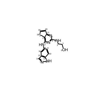 OCCNc1nc(Nc2ccc3[nH]ncc3c2)c2sccc2n1